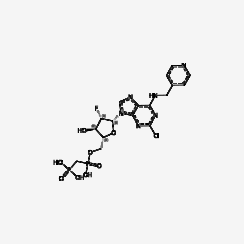 O=P(O)(O)CP(=O)(O)OC[C@H]1O[C@@H](n2cnc3c(NCc4ccncc4)nc(Cl)nc32)[C@@H](F)[C@@H]1O